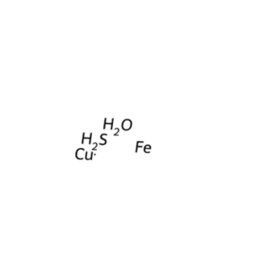 O.S.[Cu].[Fe]